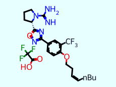 CCCC/C=C\CCOc1ccc(-c2noc([C@@H]3CCCN3C(=N)N)n2)cc1C(F)(F)F.O=C(O)C(F)(F)F